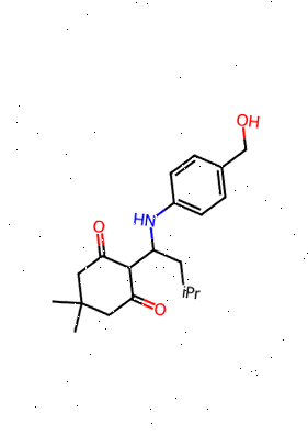 CC(C)CC(Nc1ccc(CO)cc1)C1C(=O)CC(C)(C)CC1=O